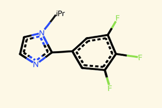 CC(C)n1ccnc1-c1cc(F)c(F)c(F)c1